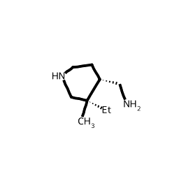 CC[C@]1(C)CNCC[C@@H]1CN